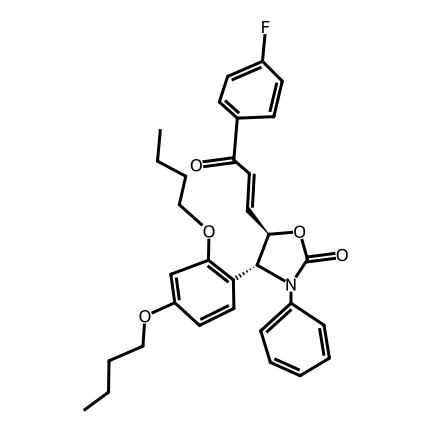 CCCCOc1ccc([C@@H]2[C@@H](/C=C/C(=O)c3ccc(F)cc3)OC(=O)N2c2ccccc2)c(OCCCC)c1